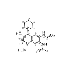 CC(=O)Nc1cc2c(cc1NC=O)[C@H](N1CCCCC1)[C@@H](O)C(C)(C)O2.Cl